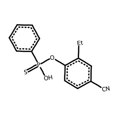 CCc1cc(C#N)ccc1OP(O)(=S)c1ccccc1